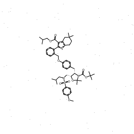 COc1ccc(S(=O)(=O)N(CC(C)C)C[C@H]2OC(C)(C)N(C(=O)OC(C)(C)C)[C@H]2Cc2ccc(OCc3ccccc3-c3sc4c(c3C(=O)OCC(C)C)CC(C)(C)CC4)cc2)cc1